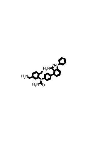 NCc1ccc(F)c(N(C(N)=O)c2ccc(-c3cccc4c3c(N)nn4-c3ccccc3)cc2)c1